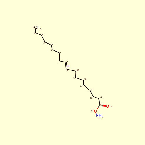 CCCCCCCC/C=C/CCCCCCCC(=O)ON